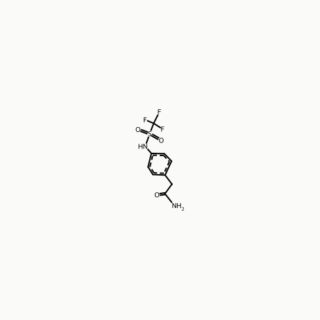 NC(=O)Cc1ccc(NS(=O)(=O)C(F)(F)F)cc1